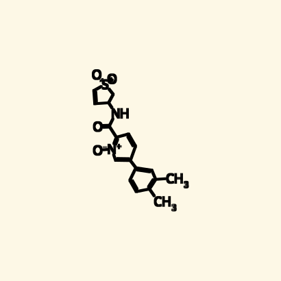 Cc1ccc(-c2ccc(C(=O)NC3C=CS(=O)(=O)C3)[n+]([O-])c2)cc1C